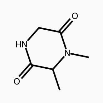 CC1C(=O)NCC(=O)N1C